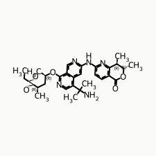 CCS(=O)(=O)[C@H](C)C[C@@H](C)Oc1ncc(C(C)(C)N)c2cc(Nc3ccc4c(n3)[C@@H](C)[C@H](C)OC4=O)ncc12